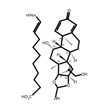 CCCC1O[C@@H]2C[C@H]3[C@@H]4CCC5=CC(=O)C=C[C@]5(C)[C@H]4[C@@H](O)C[C@]3(C)[C@]2(C(=O)CO)O1.CCCCCCC=CCCCCCCCC(=O)O